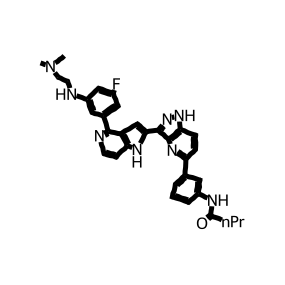 CCCC(=O)Nc1cccc(-c2ccc3[nH]nc(-c4cc5c(-c6cc(F)cc(NCCN(C)C)c6)nccc5[nH]4)c3n2)c1